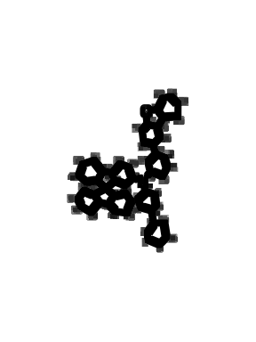 c1ccc(-c2ccc(N(c3cccc(-c4ccc5oc6ccccc6c5c4)c3)c3ccc4c(c3)C3(c5ccccc5-c5ccccc53)c3ccccc3-4)cc2)cc1